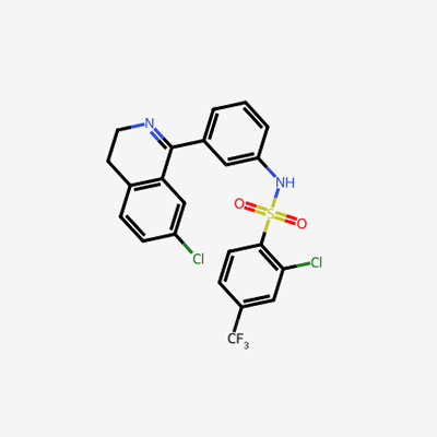 O=S(=O)(Nc1cccc(C2=NCCc3ccc(Cl)cc32)c1)c1ccc(C(F)(F)F)cc1Cl